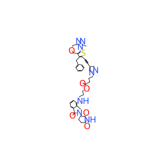 Cc1nnc2n1-c1sc(C#Cc3cnn(CCCC(=O)OCCCNc4cccc5c4CN(C4CCC(=O)NC4=O)C5=O)c3)c(Cc3ccccc3)c1COC2